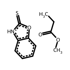 CCC(=O)OC.S=c1[nH]c2ccccc2o1